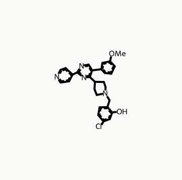 COc1cccc(-c2cnc(-c3ccncc3)nc2C2CCN(Cc3ccc(Cl)cc3O)CC2)c1